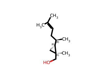 CC(C)=CC[C@@H](C)[C@H]1C[C@]1(C)CO